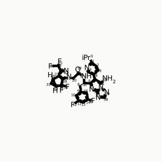 CC(C)c1ccc(-c2c([C@H](Cc3cc(F)cc(F)c3)NC(=O)Cn3nc(C(F)F)c4c3C(F)(F)[C@@H]3C[C@H]43)nc3ncnn3c2N)cn1